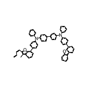 C=C/C=C\c1oc2c(-c3ccc(N(c4ccccc4)c4ccc(-c5ccc(N(c6ccccc6)c6ccc(-c7cccc8c7oc7ccccc78)cc6)cc5)cc4)cc3)cccc2c1C